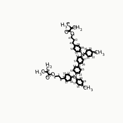 C=C(C)C(=O)OCCCc1ccc(N(c2ccc(C)cc2)c2ccc(-c3ccc(N(c4ccc(C)cc4)c4ccc(CCCOC(=O)C(=C)C)cc4)cc3)cc2)cc1